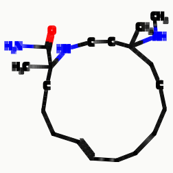 CNC1(C)CCCCCC/C=C/CCCC(C)(C(N)=O)NCC1